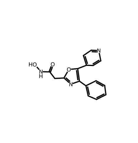 O=C(Cc1nc(-c2ccccc2)c(-c2ccncc2)o1)NO